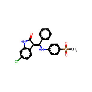 CS(=O)(=O)c1ccc(NC(=C2C(=O)Nc3cc(Cl)ccc32)c2ccccc2)cc1